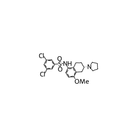 COc1ccc(NS(=O)(=O)c2cc(Cl)cc(Cl)c2)c2c1C[C@@H](N1CCCC1)CC2